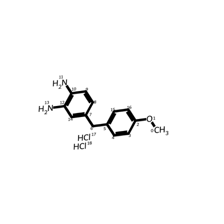 COc1ccc(Cc2ccc(N)c(N)c2)cc1.Cl.Cl